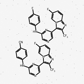 Fc1ccc(Nc2cncc(-c3c(C(F)(F)F)nc4ccc(F)cn34)n2)cc1.N#Cc1ccc(Nc2cncc(-c3c(C(F)(F)F)nc4ccc(F)cn34)n2)cc1